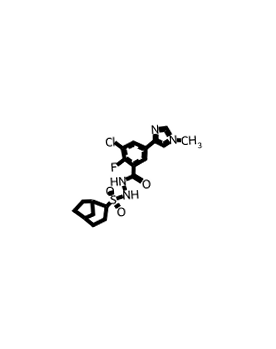 Cn1cnc(-c2cc(Cl)c(F)c(C(=O)NNS(=O)(=O)C3CCC4CCC3C4)c2)c1